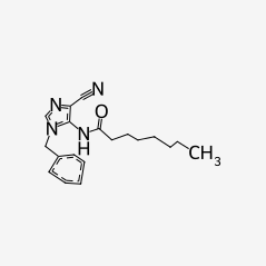 CCCCCCCC(=O)Nc1c(C#N)ncn1Cc1ccccc1